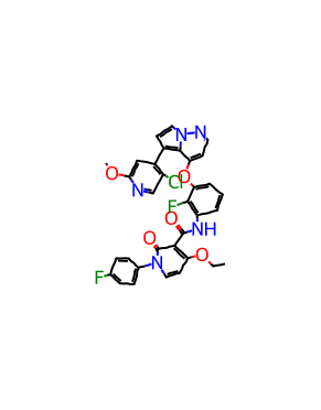 CCOc1ccn(-c2ccc(F)cc2)c(=O)c1C(=O)Nc1cccc(Oc2ccnn3ccc(-c4cc(OC)ncc4Cl)c23)c1F